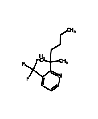 CCCCC(C)(C)c1ncccc1C(F)(F)F